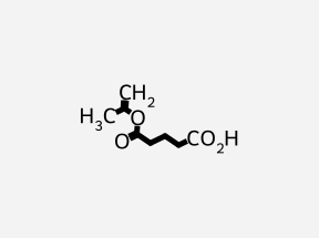 C=C(C)OC(=O)CCCC(=O)O